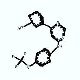 Oc1cccc(-c2cc(Nc3ccc(OC(F)(F)F)cc3)ncn2)c1